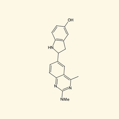 CNc1nc(C)c2cc(C3Cc4cc(O)ccc4N3)ccc2n1